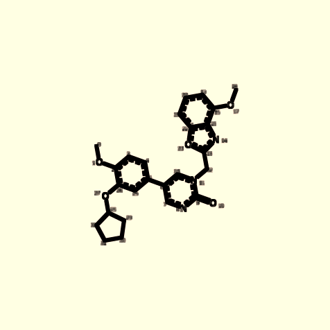 COc1ccc(-c2cnc(=O)n(Cc3nc4c(OC)cccc4o3)c2)cc1OC1CCCC1